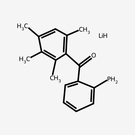 Cc1cc(C)c(C(=O)c2ccccc2P)c(C)c1C.[LiH]